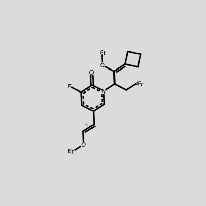 CCO/C=C/c1cc(F)c(=O)n(C(CC(C)C)C(OCC)=C2CCC2)c1